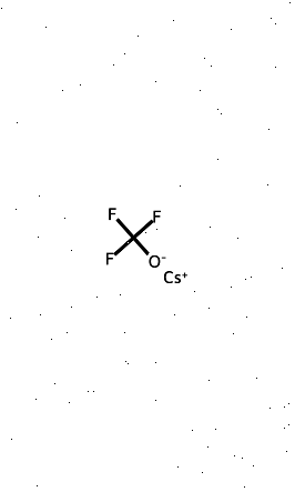 [Cs+].[O-]C(F)(F)F